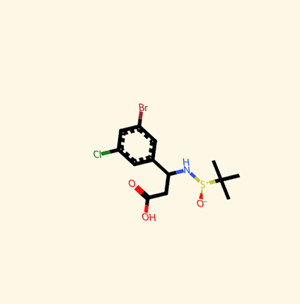 CC(C)(C)[S@@+]([O-])NC(CC(=O)O)c1cc(Cl)cc(Br)c1